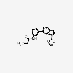 C=CC(=O)Nc1cccc(-c2cc3c(ccn3C(=O)OC(C)(C)C)cn2)c1